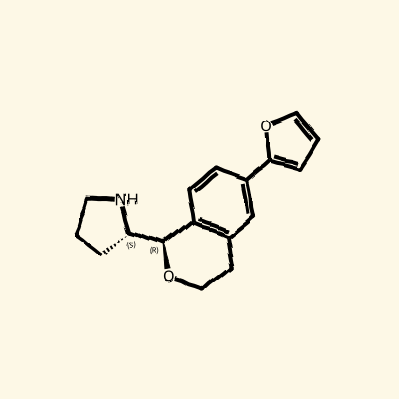 c1coc(-c2ccc3c(c2)CCO[C@H]3[C@@H]2CCCN2)c1